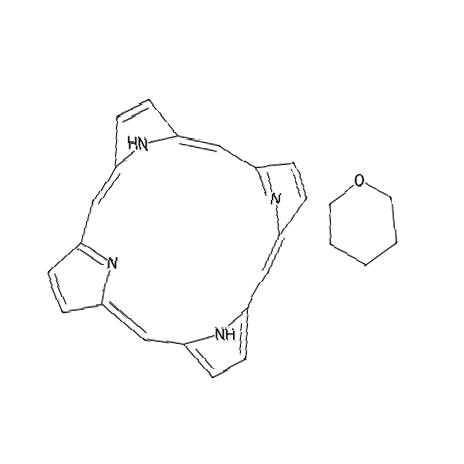 C1=Cc2cc3ccc(cc4nc(cc5ccc(cc1n2)[nH]5)C=C4)[nH]3.C1CCOCC1